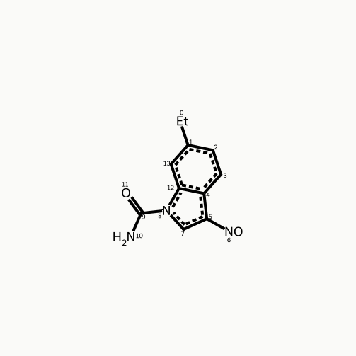 CCc1ccc2c(N=O)cn(C(N)=O)c2c1